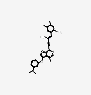 Cc1cc(N)c(/C=C(\N)C#Cc2ncc(C)c3c(Oc4cccc(N(C)C)c4)coc23)cc1C